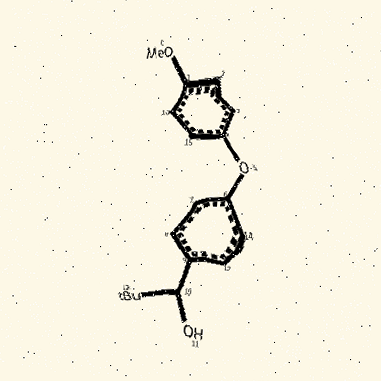 COc1ccc(Oc2ccc(C(O)C(C)(C)C)cc2)cc1